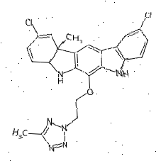 Cc1nnn(CCOc2c3c(cc4c2[nH]c2ccc(Cl)cc24)C2(C)C=C(Cl)C=CC2N3)n1